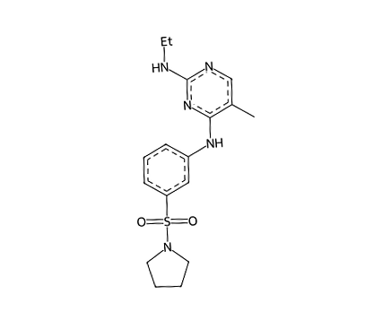 CCNc1ncc(C)c(Nc2cccc(S(=O)(=O)N3CCCC3)c2)n1